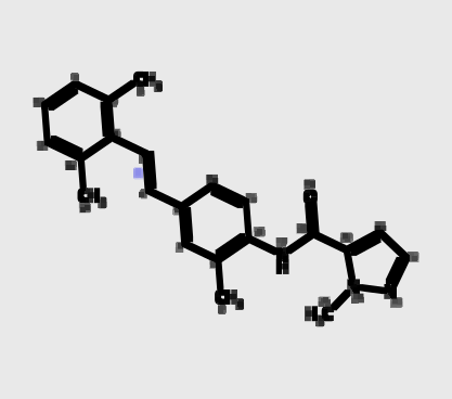 Cc1cc(/C=C/c2c(C)cccc2C)ccc1NC(=O)c1ccnn1C